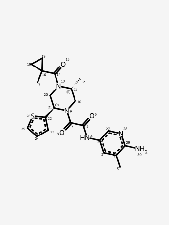 Cc1cc(NC(=O)C(=O)N2C[C@@H](C)N(C(=O)C3(C)CC3)C[C@@H]2c2cccs2)cnc1N